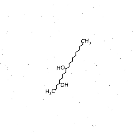 CCCCCCCCCCC(O)CCCCC(O)CCC